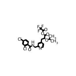 CC(C)OC(Cc1ccnc(CNC(=O)c2ccc(Cl)cc2Cl)c1)C(=O)OC(=O)C(F)(F)F